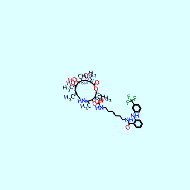 CC[C@H]1OC(=O)[C@H](C)[C@@H](O)[C@H](C)[C@@H](O)[C@](C)(O)C[C@@H](C)CN[C@H](C)C(OC(=O)NCCCCCCNC(=O)c2ccccc2Nc2cccc(C(F)(F)F)c2)[C@]1(C)O